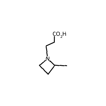 CC1CCN1CCC(=O)O